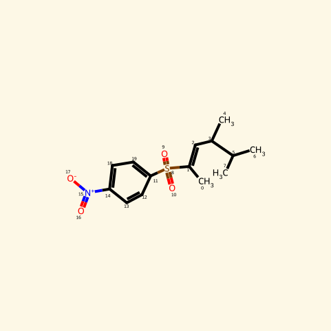 C/C(=C\C(C)C(C)C)S(=O)(=O)c1ccc([N+](=O)[O-])cc1